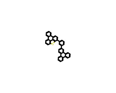 c1cc(-c2ccc3c4ccccc4c4ccccc4c3c2)cc(-c2ccc3c4ccccc4c4cccc5sc2c3c54)c1